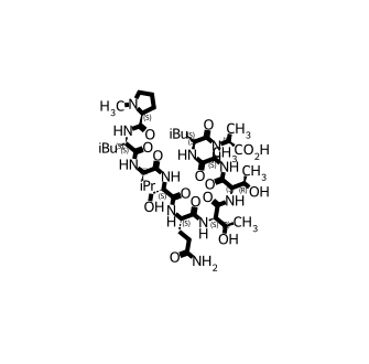 CC[C@H](C)[C@H](NC(=O)[C@H](C)NC(=O)[C@@H](NC(=O)[C@@H](NC(=O)[C@H](CCC(N)=O)NC(=O)[C@H](CO)NC(=O)[C@@H](NC(=O)[C@@H](NC(=O)[C@@H]1CCCN1C)[C@@H](C)CC)C(C)C)[C@@H](C)O)[C@@H](C)O)C(=O)N[C@@H](C)C(=O)O